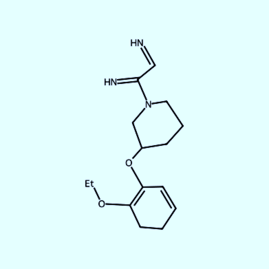 CCOC1=C(OC2CCCN(C(=N)C=N)C2)C=CCC1